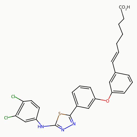 O=C(O)CCCCC=Cc1cccc(Oc2cccc(-c3nnc(Nc4ccc(Cl)c(Cl)c4)s3)c2)c1